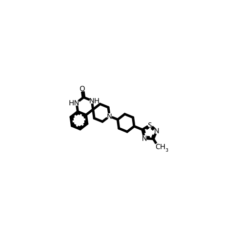 Cc1nsc(C2CCC(N3CCC4(CC3)NC(=O)Nc3ccccc34)CC2)n1